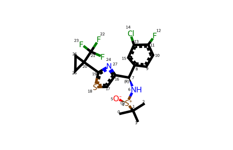 CC(C)(C)[S@@+]([O-])N[C@H](c1ccc(F)c(Cl)c1)c1csc(C2(C(F)(F)F)CC2)n1